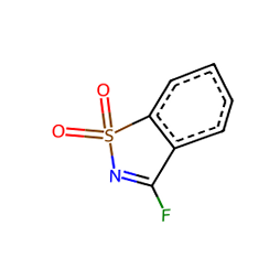 O=S1(=O)N=C(F)c2ccccc21